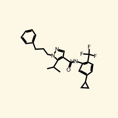 CC(C)c1c(C(=O)Nc2cc(C3CC3)ccc2C(F)(F)F)cnn1CCCc1ccccc1